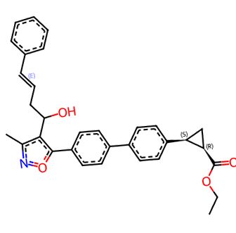 CCOC(=O)[C@@H]1C[C@@H]1c1ccc(-c2ccc(-c3onc(C)c3C(O)C/C=C/c3ccccc3)cc2)cc1